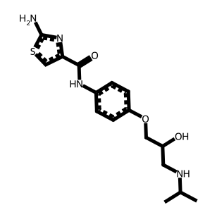 CC(C)NCC(O)COc1ccc(NC(=O)c2csc(N)n2)cc1